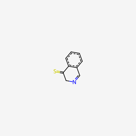 S=C1CN=Cc2ccccc21